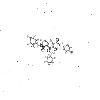 O=C(NCc1ccc(F)cc1)c1cn2ccn(Cc3ccc(F)cc3)c(=O)c2c(OCc2ccccc2)c1=O